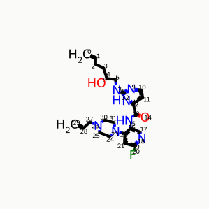 C=CCC[C@@H](O)CNc1nccc(C(=O)Nc2cnc(F)cc2N2CCN(CC=C)CC2)n1